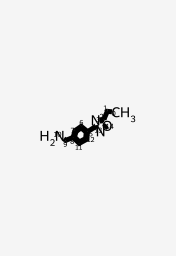 CCc1nc(-c2ccc(CN)cc2)no1